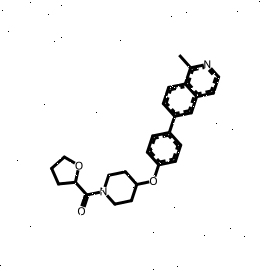 Cc1nccc2cc(-c3ccc(OC4CCN(C(=O)C5CCCO5)CC4)cc3)ccc12